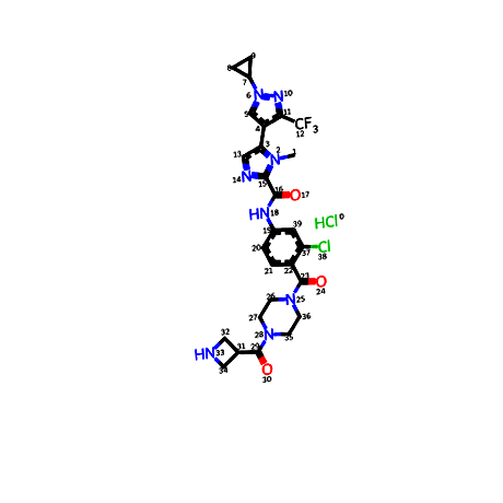 Cl.Cn1c(-c2cn(C3CC3)nc2C(F)(F)F)cnc1C(=O)Nc1ccc(C(=O)N2CCN(C(=O)C3CNC3)CC2)c(Cl)c1